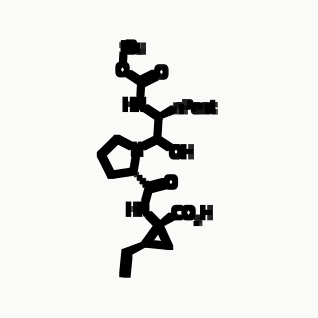 C=C[C@@H]1C[C@]1(NC(=O)[C@@H]1CCCN1C(O)[C@H](CCCCC)NC(=O)OC(C)(C)C)C(=O)O